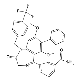 COc1cc2c(c(OC)c1-c1ccccc1)C(c1cccc(C(N)=O)c1)=NCC(=O)N2Cc1ccc(C(F)(F)F)cc1